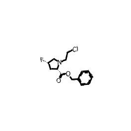 O=C(OCc1ccccc1)[C@@H]1C[C@H](F)CN1CCCl